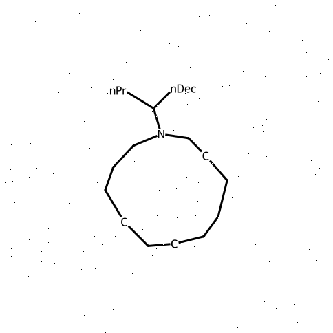 CCCCCCCCCCC(CCC)N1CCCCCCCCCCC1